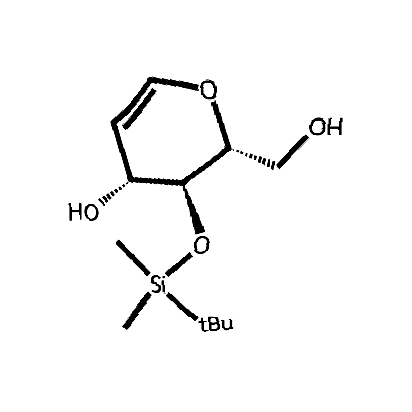 CC(C)(C)[Si](C)(C)O[C@H]1[C@H](O)C=CO[C@@H]1CO